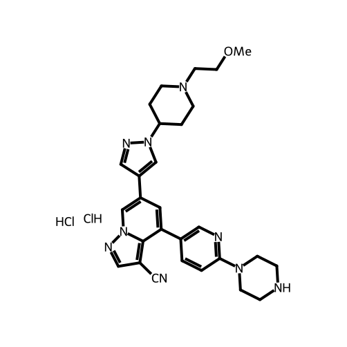 COCCN1CCC(n2cc(-c3cc(-c4ccc(N5CCNCC5)nc4)c4c(C#N)cnn4c3)cn2)CC1.Cl.Cl